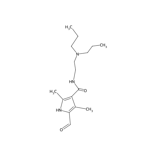 CCCN(CCC)CCNC(=O)c1c(C)[nH]c(C=O)c1C